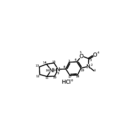 Cl.Cn1c(=O)oc2cc(N3CC4CCC(C3)N4)ccc21